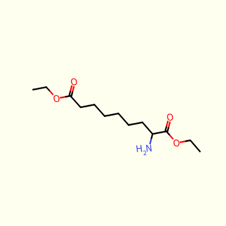 CCOC(=O)CCCCCCC(N)C(=O)OCC